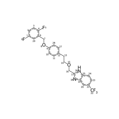 Fc1ccc(F)c(COc2ccc(CCOCc3nc4cc(C(F)(F)F)ccc4[nH]3)cc2)c1